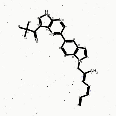 C=C/C=C\C=C(/N)Cn1ccc2cc(-c3cnc4[nH]cc(C(=O)C(C)(C)C)c4n3)ccc21